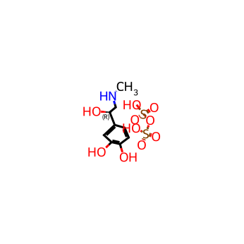 CNC[C@H](O)c1ccc(O)c(O)c1.O=S(=O)(O)OS(=O)(=O)O